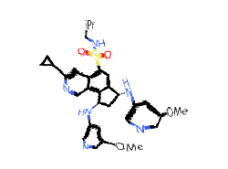 COc1cncc(N[C@@H]2C[C@@H](Nc3cncc(OC)c3)c3c2cc(S(=O)(=O)NCC(C)C)c2cc(C4CC4)ncc32)c1